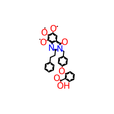 COc1cc2c(=O)n(Cc3ccc(Oc4ccccc4C(=O)O)cc3)c(CCc3ccccc3)nc2c(OC)c1OC